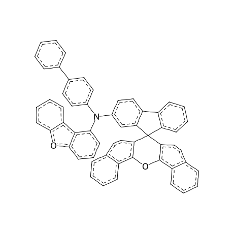 c1ccc(-c2ccc(N(c3ccc4c(c3)C3(c5ccccc5-4)c4ccc5ccccc5c4Oc4c3ccc3ccccc43)c3cccc4oc5ccccc5c34)cc2)cc1